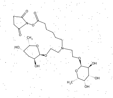 C[C@@H]1O[C@@H](OCCN(CCCCCC(=O)ON2C(=O)CCC2=O)CCO[C@@H]2O[C@@H](C)[C@@H](O)C[C@@H]2O)[C@@H](O)[C@H](O)[C@@H]1O